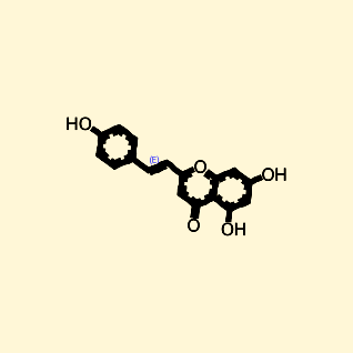 O=c1cc(/C=C/c2ccc(O)cc2)oc2cc(O)cc(O)c12